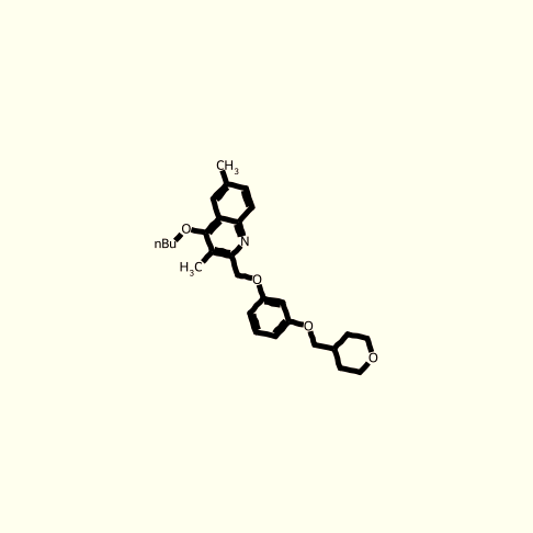 CCCCOc1c(C)c(COc2cccc(OCC3CCOCC3)c2)nc2ccc(C)cc12